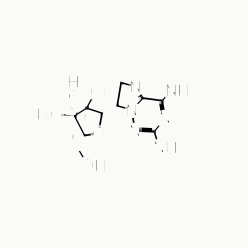 C[C@@]1(O)[C@H](O)[C@@H](CO)O[C@H]1C1CN=C2C(N)=NC(N)=NN21